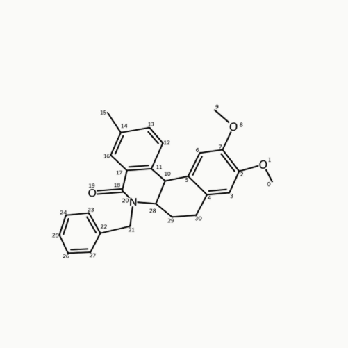 COc1cc2c(cc1OC)C1c3ccc(C)cc3C(=O)N(Cc3ccccc3)C1CC2